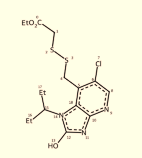 CCOC(=O)CSSCc1c(Cl)cnc2nc(O)n(C(CC)CC)c12